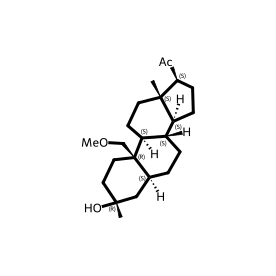 COC[C@]12CC[C@@](C)(O)C[C@@H]1CC[C@H]1[C@@H]3CC[C@H](C(C)=O)[C@@]3(C)CC[C@@H]12